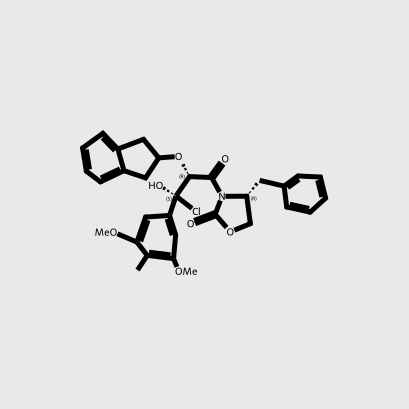 COc1cc([C@](O)(Cl)[C@H](OC2Cc3ccccc3C2)C(=O)N2C(=O)OC[C@H]2Cc2ccccc2)cc(OC)c1C